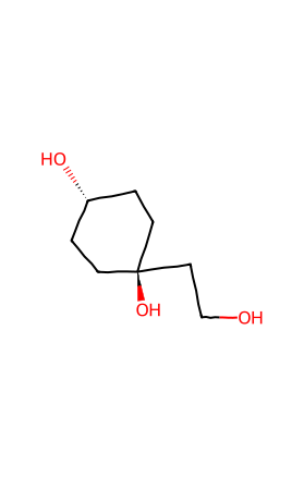 OCC[C@]1(O)CC[C@H](O)CC1